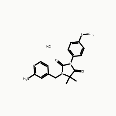 CC1(C)C(=O)N(c2ccc(SC(F)(F)F)cc2)C(=O)N1Cc1ccnc(N)c1.Cl